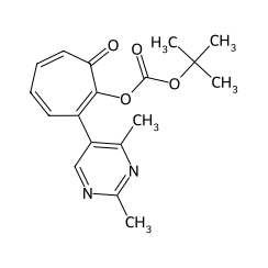 Cc1ncc(-c2ccccc(=O)c2OC(=O)OC(C)(C)C)c(C)n1